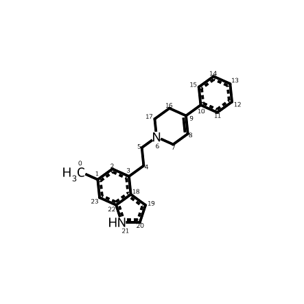 Cc1cc(CCN2CC=C(c3ccccc3)CC2)c2cc[nH]c2c1